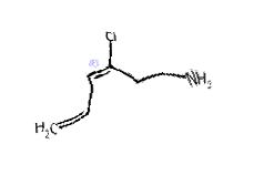 C=C/C=C(/Cl)CCN